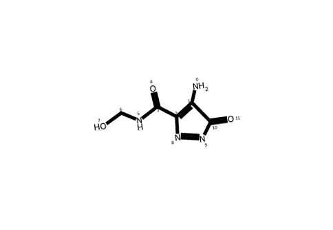 NC1=C(C(=O)NCO)N=NC1=O